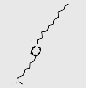 CCN(C)CCCCCCc1cc[n+](CCCCCCCCCCCS)cc1.[Br-]